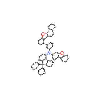 c1ccc(C2(c3ccccc3)c3ccccc3-c3c(N(c4cccc(-c5cccc6oc7c8ccccc8ccc7c56)c4)c4ccc5c(c4)oc4ccccc45)cccc32)cc1